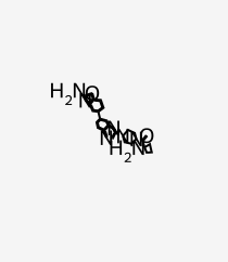 Nc1nc2cc(-c3ccc4ncc(N5CCN(C(=O)C6(N)CCC6)CC5)nc4c3)ccc2o1